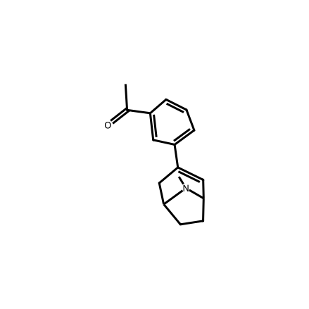 CC(=O)c1cccc(C2=CC3CCC(C2)N3C)c1